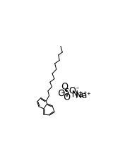 CCCCCCCCCCCCc1cccc2ccccc12.O=S(=O)([O-])[O-].[Na+].[Na+]